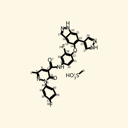 CS(=O)(=O)O.Cc1cc(C(=O)Nc2ccc(Oc3cc4cn[nH]c4cc3-c3cn[nH]c3)c(F)c2)c(=O)n(-c2ccc(F)cc2)n1